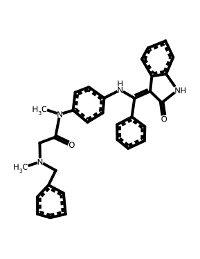 CN(CC(=O)N(C)c1ccc(NC(=C2C(=O)Nc3ccccc32)c2ccccc2)cc1)Cc1ccccc1